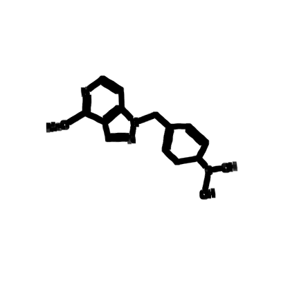 COc1nccc2c1cnn2CC1=CCC(B(O)O)C=C1